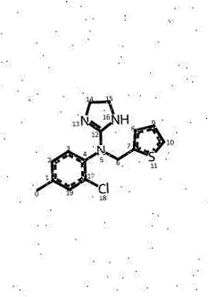 Cc1ccc(N(Cc2cccs2)C2=NCCN2)c(Cl)c1